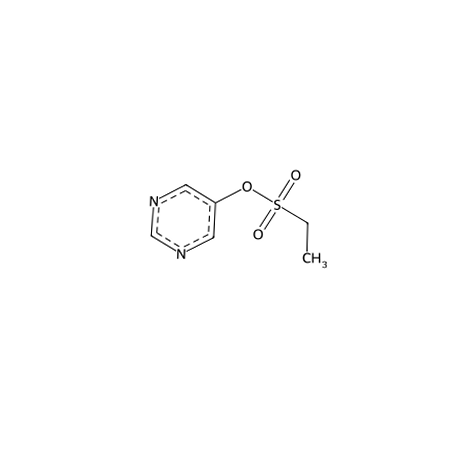 CCS(=O)(=O)Oc1cncnc1